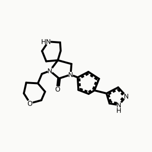 O=C1N(c2ccc(-c3cn[nH]c3)cc2)CC2(CCNCC2)N1CC1CCOCC1